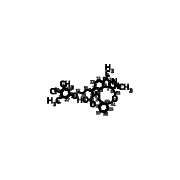 CCc1nn(C)c2c1-c1c(F)ccc3c(CCCOc4cc(C)c(Cl)c(C)c4)c(C(=O)O)n(c13)Cc1ccccc1COC2